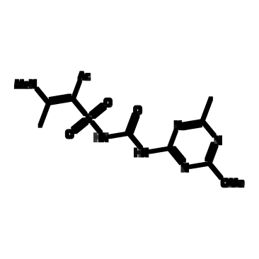 CNC(C)=C(C(C)=O)S(=O)(=O)NC(=O)Nc1nc(C)nc(OC)n1